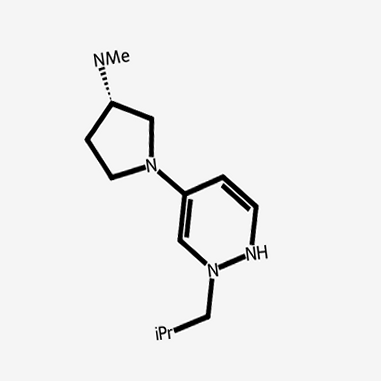 CN[C@H]1CCN(C2=CN(CC(C)C)NC=C2)C1